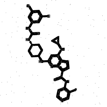 O=C(Nc1cc(Cl)cc(Cl)c1)N[C@H]1CC[C@H](Nc2cc(NC3CC3)c3ncc(C(=O)Nc4ccncc4F)n3n2)CC1